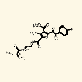 CCC(C(=O)c1sc(C(=O)NCCNC(=O)[C@H](N)C(C)C)c(C)c1C(=O)OC)c1ccc(F)cc1